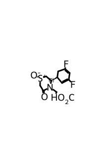 O=C(O)CN1C(=O)C[S+]([O-])C[C@H]1C1C=C(F)C=C(F)C1